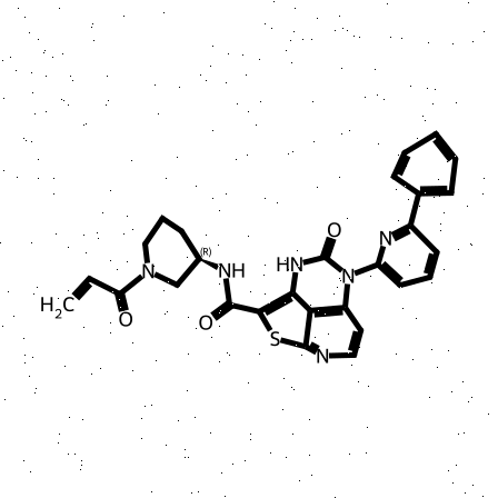 C=CC(=O)N1CCC[C@@H](NC(=O)c2sc3nccc4c3c2NC(=O)N4c2cccc(-c3ccccc3)n2)C1